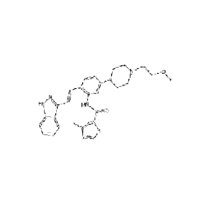 COCCN1CCN(c2ccc(/C=C/c3n[nH]c4ccccc34)c(NC(=O)c3sccc3C)c2)CC1